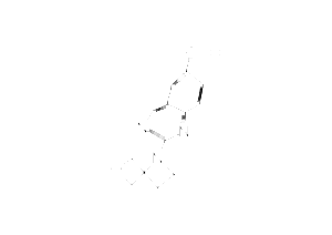 O=Cc1ccc2nc(N3CCC34COC4)ncc2c1